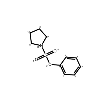 O=S(=O)(Oc1ccccc1)N1CCCC1